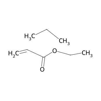 C=CC(=O)OCC.CCC